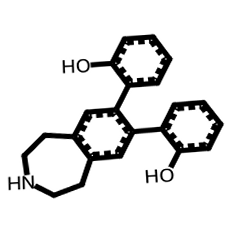 Oc1ccccc1-c1cc2c(cc1-c1ccccc1O)CCNCC2